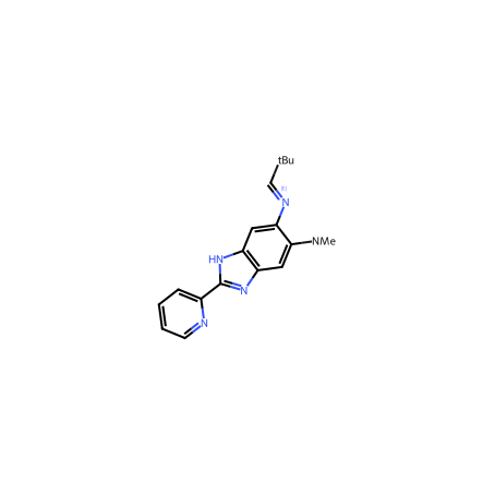 CNc1cc2nc(-c3ccccn3)[nH]c2cc1/N=C/C(C)(C)C